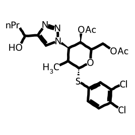 CCCC(O)c1cn([C@@H]2C(C)[C@@H](Sc3ccc(Cl)c(Cl)c3)OC(COC(C)=O)[C@@H]2OC(C)=O)nn1